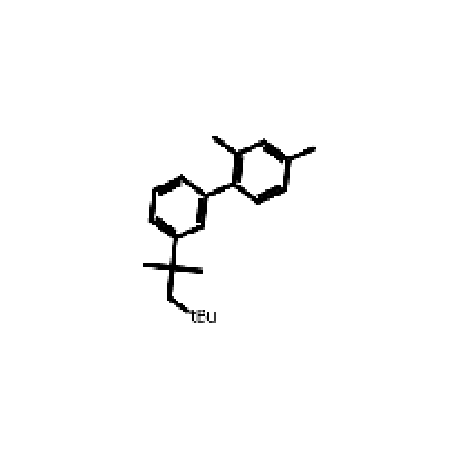 Cc1ccc(-c2[c]ccc(C(C)(C)CC(C)(C)C)c2)c(C)c1